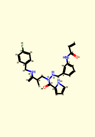 C=CC(=O)Nc1cccc(CNN(CC(C)C(=C)NCc2ccc(F)cc2)C(=O)c2ccc[nH]2)c1